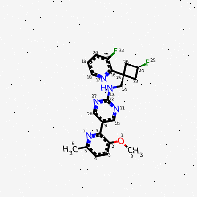 COc1ccc(C)nc1-c1cnc(NC[C@]2(c3ncccc3F)C[C@H](F)C2)nc1